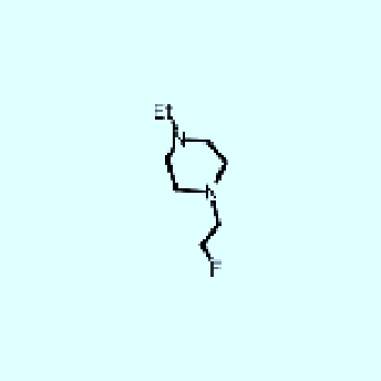 CCN1CCN(CCF)CC1